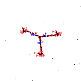 CC1C(OCCOCCOCCNCC(=O)CCOCC(C)(COCCC(=O)NCCOCCOCCOC2OC(CO)C(O)C(O)C2C)COCCC(=O)NCCOCCOCCOC2OC(CO)C(O)C(O)C2C)OC(CO)C(O)C1O